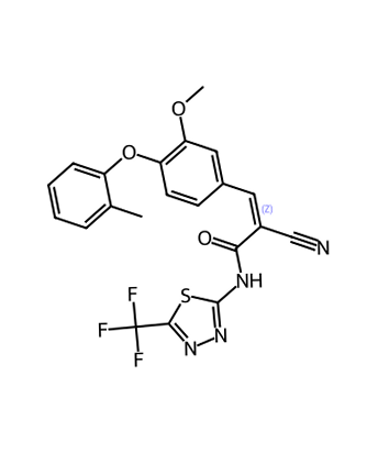 COc1cc(/C=C(/C#N)C(=O)Nc2nnc(C(F)(F)F)s2)ccc1Oc1ccccc1C